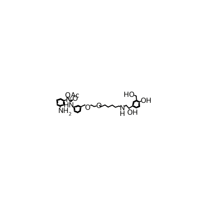 CC(=O)ON(C(=O)Nc1cccc(COCCOCCCCCCNC[C@@H](O)c2ccc(O)c(CO)c2)c1)c1cccc(N)c1